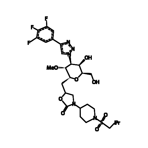 CO[C@@H]1[C@@H](n2cc(-c3cc(F)c(F)c(F)c3)nn2)[C@@H](O)[C@@H](CO)O[C@@H]1CC1CN(C2CCN(S(=O)(=O)CC(C)C)CC2)C(=O)O1